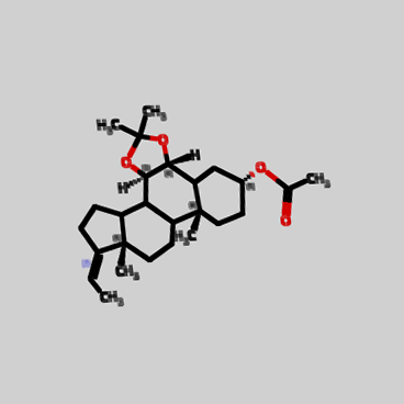 C/C=C1/CCC2C3C(CC[C@]12C)[C@@]1(C)CC[C@@H](OC(C)=O)CC1[C@H]1OC(C)(C)O[C@H]31